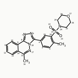 Cc1ccc(-c2nnc3c4ccccc4c(C)nn23)cc1S(=O)(=O)N1CCOCC1